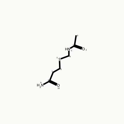 CC(=O)NCSCCC(N)=O